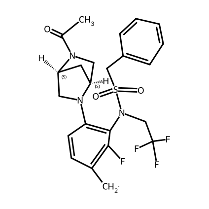 [CH2]c1ccc(N2C[C@@H]3C[C@H]2CN3C(C)=O)c(N(CC(F)(F)F)S(=O)(=O)Cc2ccccc2)c1F